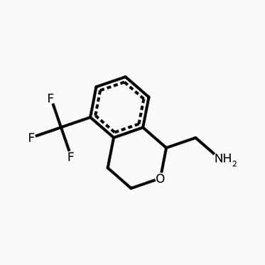 NCC1OCCc2c1cccc2C(F)(F)F